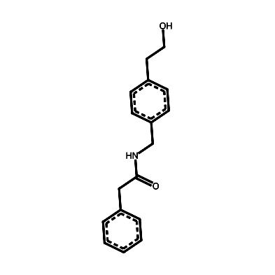 O=C(Cc1ccccc1)NCc1ccc(CCO)cc1